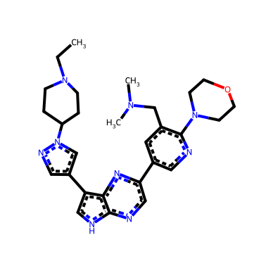 CCN1CCC(n2cc(-c3c[nH]c4ncc(-c5cnc(N6CCOCC6)c(CN(C)C)c5)nc34)cn2)CC1